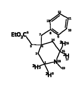 [2H]C1([2H])CC(CC(=O)OCC)(Cc2ccccc2)CC([2H])([2H])N1C